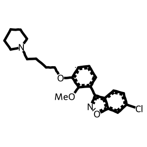 COc1c(OCCCCN2CCCCC2)[c]ccc1-c1noc2cc(Cl)ccc12